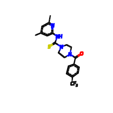 Cc1cc(C)nc(NC(=S)N2CCN(C(=O)c3ccc(C(F)(F)F)cc3)CC2)c1